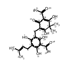 CC(C)=CCc1c(O)c(CC2=C(O)C(C)(C)C(O)=C(C(=O)C(C)C)C2=O)c(O)c(C(=O)C(C)C)c1O